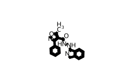 Cc1onc(-c2ccccc2)c1C(=O)NNC1=NCc2ccccc21